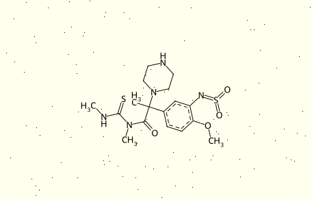 CNC(=S)N(C)C(=O)C(C)(c1ccc(OC)c(N=S(=O)=O)c1)N1CCNCC1